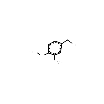 CCCCCOc1ccc(CO)cc1OC